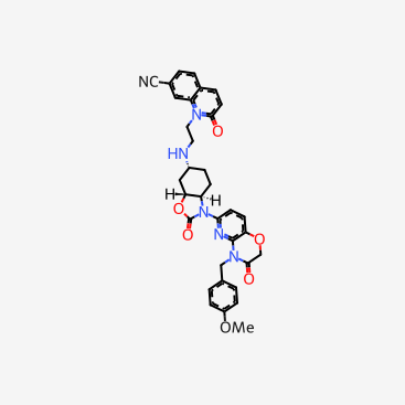 COc1ccc(CN2C(=O)COc3ccc(N4C(=O)O[C@@H]5C[C@H](NCCn6c(=O)ccc7ccc(C#N)cc76)CC[C@H]54)nc32)cc1